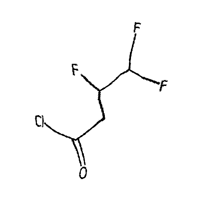 O=C(Cl)CC(F)C(F)F